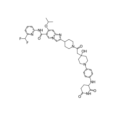 CC(C)Oc1cc2nc(C3CCN(C(=O)CC4(O)CCN(c5ccc(NC6CCC(=O)NC6=O)cc5)CC4)CC3)cn2cc1C(=O)Nc1cccc(C(F)F)n1